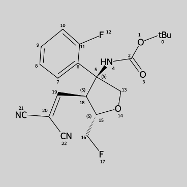 CC(C)(C)OC(=O)N[C@@]1(c2ccccc2F)CO[C@H](CF)[C@H]1C=C(C#N)C#N